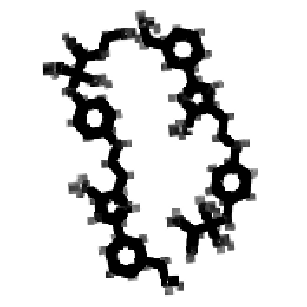 CCOC(=O)C(C)(C)Oc1ccc(OCCc2nc(-c3cccc(CC)c3)oc2C)cc1.CCc1cccc(-c2nc(CCOc3ccc(OC(C)(C)C(=O)O)cc3)c(C)o2)c1